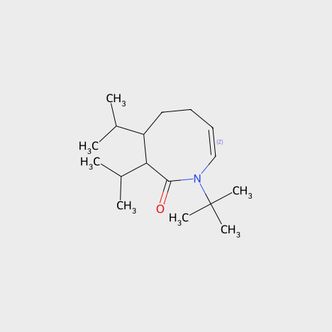 CC(C)C1CC/C=C\N(C(C)(C)C)C(=O)C1C(C)C